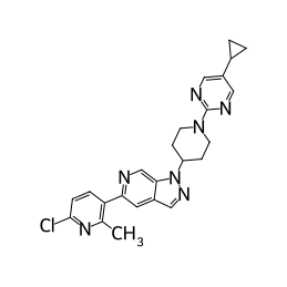 Cc1nc(Cl)ccc1-c1cc2cnn(C3CCN(c4ncc(C5CC5)cn4)CC3)c2cn1